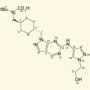 CC(C)(C)N(C[C@H]1CC[C@H](Cn2ncc3cnc(Nc4cnn(CCO)c4)nc32)CC1)C(=O)O